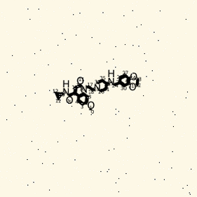 COc1ccc2c(C(=O)NC3CC3)cc(=O)n(CCN3CCC(NCc4ccc5c(c4)OCCO5)CC3)c2c1